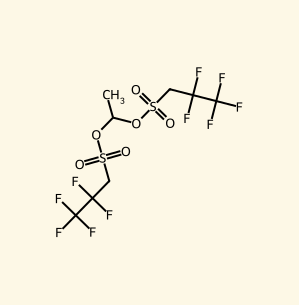 CC(OS(=O)(=O)CC(F)(F)C(F)(F)F)OS(=O)(=O)CC(F)(F)C(F)(F)F